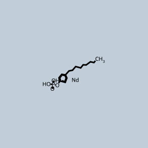 CCCCCCCCCc1ccc(OP(=O)(O)O)cc1.[Nd]